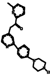 CCN1CCN(c2ccc(-c3cc(CC(=O)c4cccc(C)n4)ccn3)cc2)CC1